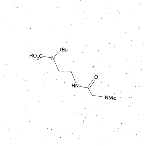 CNCC(=O)NCCN(C(=O)O)C(C)(C)C